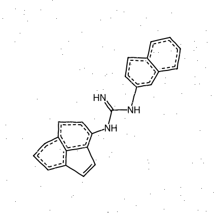 N=C(Nc1ccc2ccccc2c1)Nc1ccc2cccc3c2c1C=C3